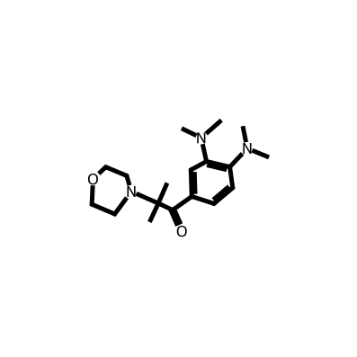 CN(C)c1ccc(C(=O)C(C)(C)N2CCOCC2)cc1N(C)C